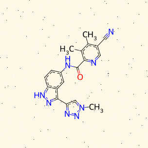 Cc1c(C#N)cnc(C(=O)Nc2ccc3[nH]nc(-c4cn(C)nn4)c3c2)c1C